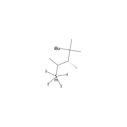 CCC(C)C(C)(C)[C@H](C)C(C)[SH](I)(I)(I)I